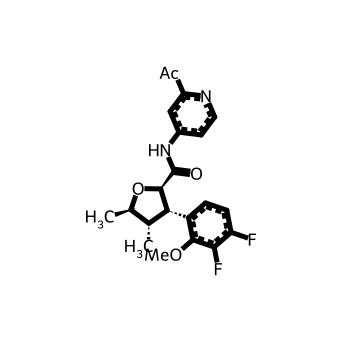 COc1c([C@@H]2[C@H](C)[C@@H](C)O[C@H]2C(=O)Nc2ccnc(C(C)=O)c2)ccc(F)c1F